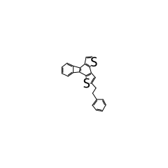 c1ccc(CCc2cc3c(s2)c2c(c4ccsc43)-c3ccccc3-2)cc1